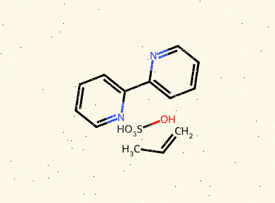 C=CC.O=S(=O)(O)O.c1ccc(-c2ccccn2)nc1